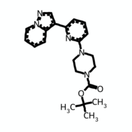 CC(C)(C)OC(=O)N1CCN(c2cccc(-c3cnn4ccccc34)n2)CC1